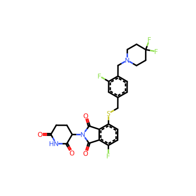 O=C1CCC(N2C(=O)c3c(F)ccc(SCc4ccc(CN5CCC(F)(F)CC5)c(F)c4)c3C2=O)C(=O)N1